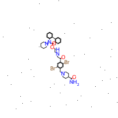 NC(=O)C1CCN(Cc2cc(Br)c(C(=O)CNCCOC(=O)N(c3ccccc3-c3ccccc3)N3CC[CH]CC3)cc2Br)CC1